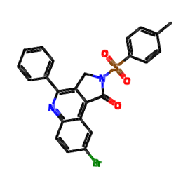 Cc1ccc(S(=O)(=O)N2Cc3c(-c4ccccc4)nc4ccc(Br)cc4c3C2=O)cc1